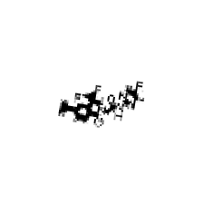 O=C(CN1CC2(C[C@@H]2F)c2c(ccc(C3CC3)c2F)C1=O)Nc1ncc(F)cn1